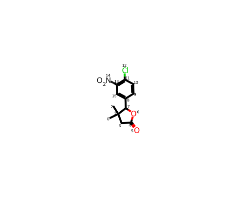 CC1(C)CC(=O)OC1c1ccc(Cl)c([N+](=O)[O-])c1